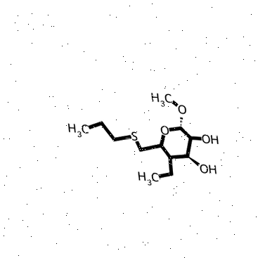 CCCSCC1O[C@H](OC)C(O)[C@@H](O)C1CC